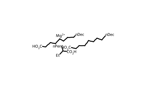 CCCCCC(CC)C(=O)O.CCCCCCC[CH-]CCCCCCCCCC(=O)O.CCCCCCC[CH-]CCCCCCCCCC(=O)O.[Mg+2]